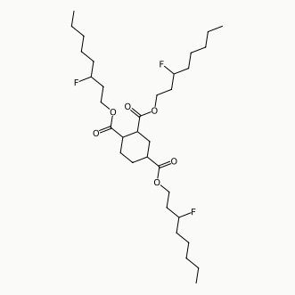 CCCCCC(F)CCOC(=O)C1CCC(C(=O)OCCC(F)CCCCC)C(C(=O)OCCC(F)CCCCC)C1